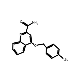 CC(C)(C)c1ccc(COc2cc(C(N)=O)nc3ccccc23)cc1